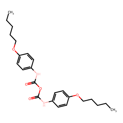 CCCCCOc1ccc(BC(=O)OC(=O)Bc2ccc(OCCCCC)cc2)cc1